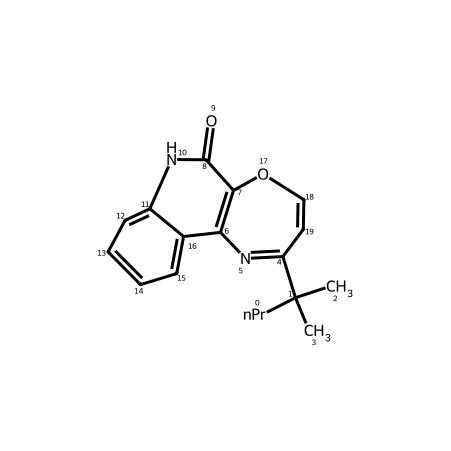 CCCC(C)(C)C1=Nc2c(c(=O)[nH]c3ccccc23)OC=C1